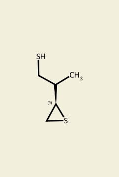 CC(CS)[C@@H]1CS1